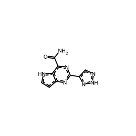 NC(=O)c1nc(-c2cn[nH]n2)nc2cc[nH]c12